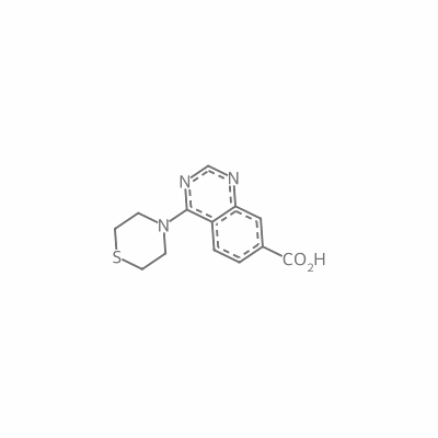 O=C(O)c1ccc2c(N3CCSCC3)ncnc2c1